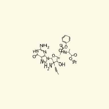 CC#CC1(N)C(O)[C@@H](COP(=O)(NC(C)C(=O)OC(C)C)Oc2ccccc2)OC1n1cnc2c(=O)[nH]c(N)nc21